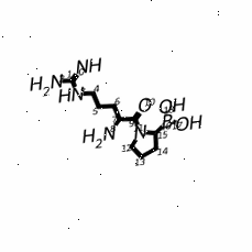 N=C(N)NCCCC(N)C(=O)N1CCCC1B(O)O